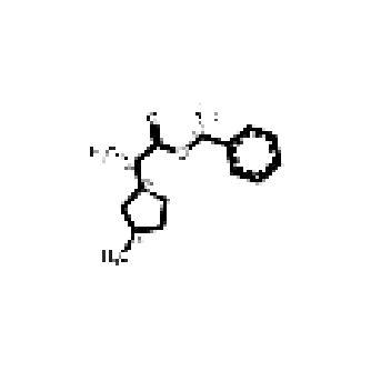 C[C@@H]1CC[C@H]([C@H](C)C(=O)O[C@H](C)c2ccccc2)C1